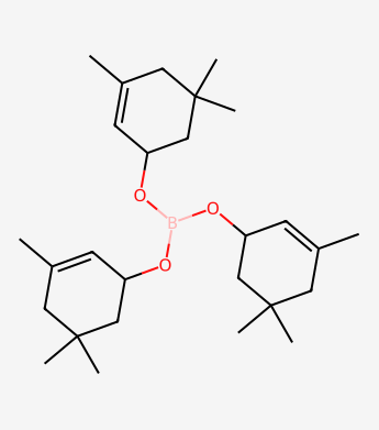 CC1=CC(OB(OC2C=C(C)CC(C)(C)C2)OC2C=C(C)CC(C)(C)C2)CC(C)(C)C1